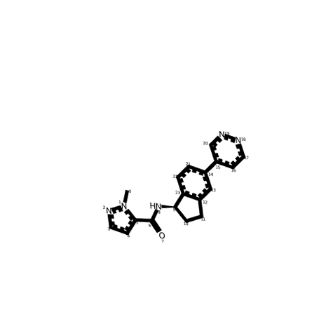 Cn1nccc1C(=O)N[C@@H]1CCc2cc(-c3ccnnc3)ccc21